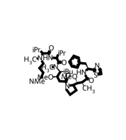 CC[C@H](C)[C@@H]([C@@H](CC(=O)N1CCCC1[C@H](OC)[C@@H](C)C(=O)N[C@@H](Cc1ccccc1)c1nccs1)OC)N(C)C(=O)C(NC(=O)C(C(C)C)N(C)CCCCNC)C(C)C